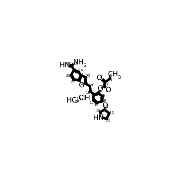 CCC(=O)C(=O)Oc1cc(O[C@H]2CCNC2)ccc1CCc1cc2cc(C(=N)N)ccc2o1.Cl.Cl